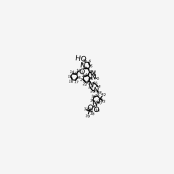 Cn1nc(-c2ccc(O)nc2OCc2ccccc2)c2cccc(N3CCN(C[C@H]4CCN(C(=O)OC(C)(C)C)CC4(C)C)CC3)c21